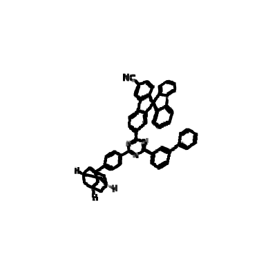 N#Cc1ccc2c(c1)-c1ccc(-c3nc(-c4ccc(C56C[C@H]7C[C@H](C5)C[C@@H](C6)C7)cc4)nc(-c4cccc(-c5ccccc5)c4)n3)cc1C21c2ccccc2-c2ccccc21